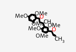 CC=CC(=O)c1c(OC)cc(OC)c(C(C)CC(=O)c2c(OC)cc(OC)cc2OC)c1OC